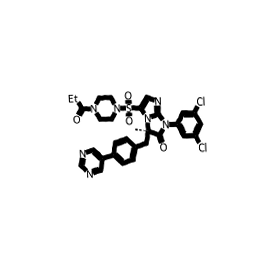 CCC(=O)N1CCN(S(=O)(=O)c2cnc3n2[C@](C)(Cc2ccc(-c4cncnc4)cc2)C(=O)N3c2cc(Cl)cc(Cl)c2)CC1